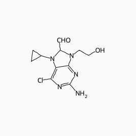 Nc1nc(Cl)c2c(n1)N(CCO)C(C=O)N2C1CC1